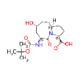 CC(C)(C)OC(=O)N[C@H]1CC(O)CC[C@H]2CC[C@@H](C(=O)O)N2C1=O